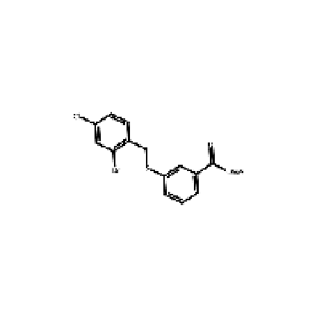 COC(=O)c1cccc(SCc2ccc(Cl)cc2Br)c1